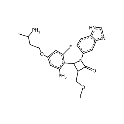 CC(P)CCOc1cc(F)c(C2C(COI)C(=O)N2c2ccc3[nH]cnc3c2)c(P)c1